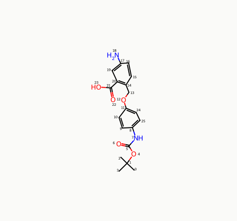 CC(C)(C)OC(=O)Nc1ccc(OCc2ccc(N)cc2C(=O)O)cc1